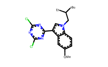 CCCCC(CC)Cn1cc(-c2nc(Cl)nc(Cl)n2)c2cc(OC)ccc21